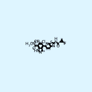 CN(C)C(=O)c1c(F)c(Cl)c(-c2ccc3nc(NC(=O)[C@@H]4C[C@@H]4F)sc3n2)c2cn[nH]c12